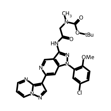 COc1ccc(Cl)cc1-n1nc(NC(=O)CN(C)C(=O)OC(C)(C)C)c2cnc(-c3cnn4cccnc34)cc21